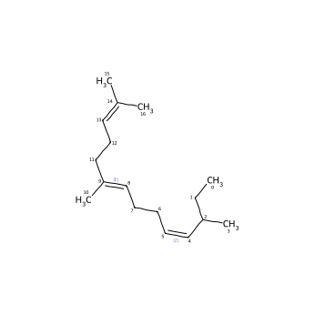 CCC(C)/C=C\CC/C=C(\C)CCC=C(C)C